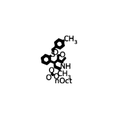 CCCCCCCCOC(=O)OC1=C(C)NC2=C(C(=O)OC2)C1c1ccccc1SCc1ccc(C)cc1